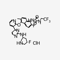 Cc1ccc2c(NS(=O)(=O)N(C)CC(F)(F)F)c(F)ccc2c1Oc1ncccc1-c1ccnc(N[C@@H]2CNC[C@@H](F)C2)n1.Cl